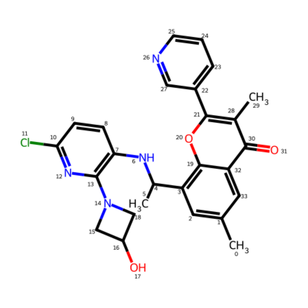 Cc1cc(C(C)Nc2ccc(Cl)nc2N2CC(O)C2)c2oc(-c3cccnc3)c(C)c(=O)c2c1